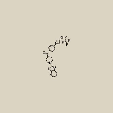 CC(OC1CN(c2ccc(C(=O)N3CCN(c4nc5ncccc5o4)CC3)cc2)C1)C(F)(F)F